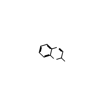 SC1[C]=Nc2ccccc2N1